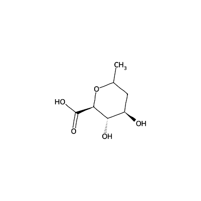 CC1C[C@@H](O)[C@H](O)[C@@H](C(=O)O)O1